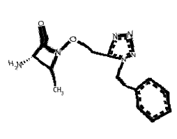 CC1[C@H](N)C(=O)N1OCc1nnnn1Cc1ccccc1